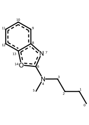 CCCCN(C)c1nc2ccccc2o1